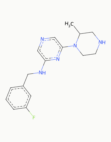 CC1CNCCN1c1cncc(NCc2cccc(F)c2)n1